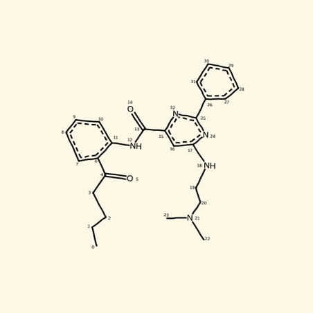 CCCCC(=O)c1ccccc1NC(=O)c1cc(NCCN(C)C)nc(-c2ccccc2)n1